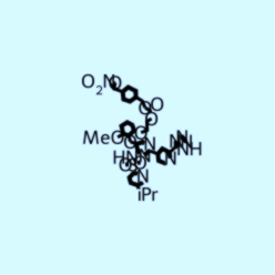 COc1ccccc1Oc1c(NS(=O)(=O)c2ccc(C(C)C)cn2)nc(-c2ccnc(-c3nnn[nH]3)c2)nc1OCCOC(=O)OCc1ccc(CO[N+](=O)[O-])cc1